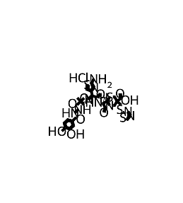 CC(C)(ON=C(C(=O)NC1C(=O)N2CC(CSc3nncs3)(C(=O)O)CS[C@H]12)c1csc(N)n1)C(=O)NNC(=O)c1ccc(O)c(O)c1.Cl